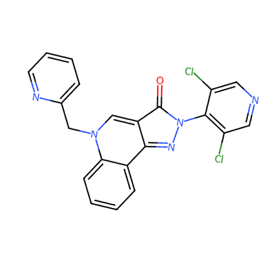 O=c1c2cn(Cc3ccccn3)c3ccccc3c-2nn1-c1c(Cl)cncc1Cl